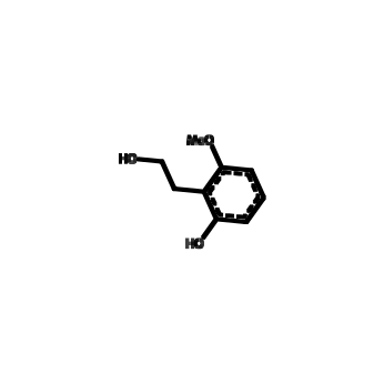 COc1cccc(O)c1CCO